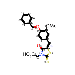 COc1cc(/C=C2/SC(=S)N(CC(=O)O)C2=O)ccc1OCc1ccccc1